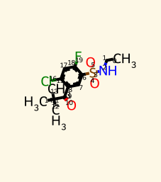 CCNS(=O)(=O)c1cc(C(=O)C(C)(C)C)c(Cl)cc1F